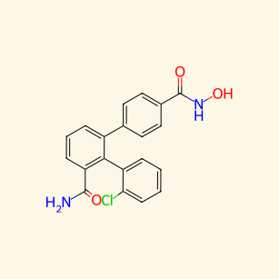 NC(=O)c1cccc(-c2ccc(C(=O)NO)cc2)c1-c1ccccc1Cl